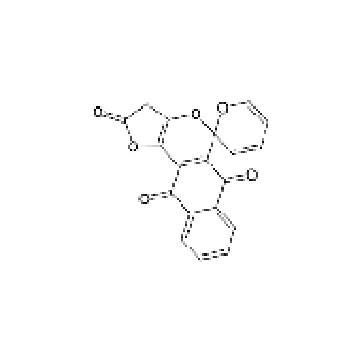 O=C1CC2=C(O1)C1=C(C(=O)c3ccccc3C1=O)C1(C=CC=CO1)O2